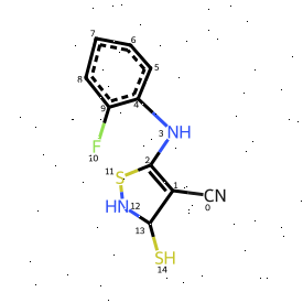 N#CC1=C(Nc2ccccc2F)SNC1S